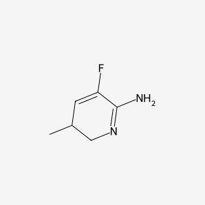 CC1C=C(F)C(N)=NC1